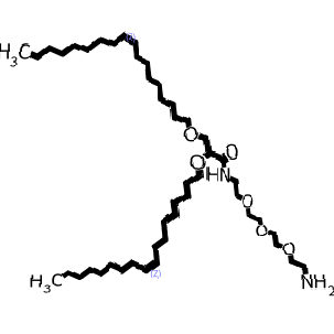 CCCCCCCC/C=C\CCCCCCCCOCC(OCCCCCCCC/C=C\CCCCCCCC)C(=O)NCCOCCOCCOCCN